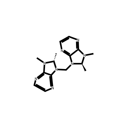 C[C@@H]1N(C)c2nccnc2N1CN1c2nccnc2N(C)[C@@H]1C